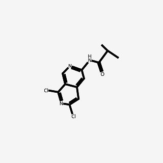 CC(C)C(=O)Nc1cc2cc(Cl)nc(Cl)c2cn1